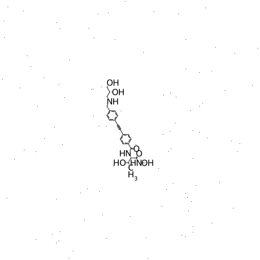 C[C@@H](O)[C@H](NC(=O)c1ccc(C#Cc2ccc(CNC[C@@H](O)CO)cc2)cc1)C(=O)NO